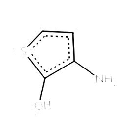 Nc1ccsc1O